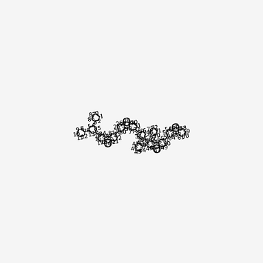 c1ccc(-c2cc(-c3ccccc3)cc(-c3ccc4oc5ccc(-c6ccc7oc8ccc(-c9ccc(-c%10c(-c%11ccccc%11)cc%11oc%12ccc(-c%13ccc%14oc%15ccccc%15c%14c%13)cc%12c%11c%10-c%10ccccc%10)cc9)cc8c7c6)cc5c4c3)c2)cc1